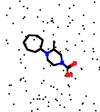 CC1CN(C(=O)O)CCN1C1CCCCCC1